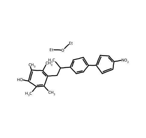 CCOCC.Cc1c(C)c(CC(C)c2ccc(-c3ccc([N+](=O)[O-])cc3)cc2)c(C)c(C)c1O